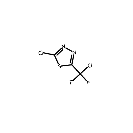 FC(F)(Cl)c1nnc(Cl)s1